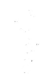 CCC(C)C(NC(=O)c1cc2ccccc2[nH]1)C(=O)NCC(=O)NC(C=O)CC1CCNC1=O